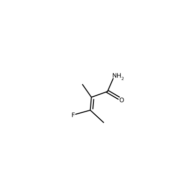 CC(F)=C(C)C(N)=O